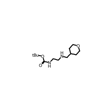 CC(C)(C)OC(=O)NCCNCC1CCOCC1